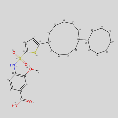 COc1cc(C(=O)O)ccc1NS(=O)(=O)c1ccc(C2CCCCCC(C3CCCCCCC3)CCCC2)s1